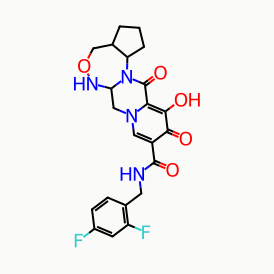 O=C(NCc1ccc(F)cc1F)c1cn2c(c(O)c1=O)C(=O)N1C(C2)NOCC2CCCC21